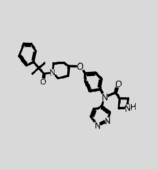 CC(C)(C(=O)N1CCC(Oc2ccc(N(C(=O)C3CNC3)c3ccnnc3)cc2)CC1)c1ccccc1